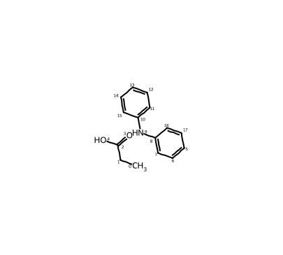 CCC(=O)O.c1ccc(Nc2ccccc2)cc1